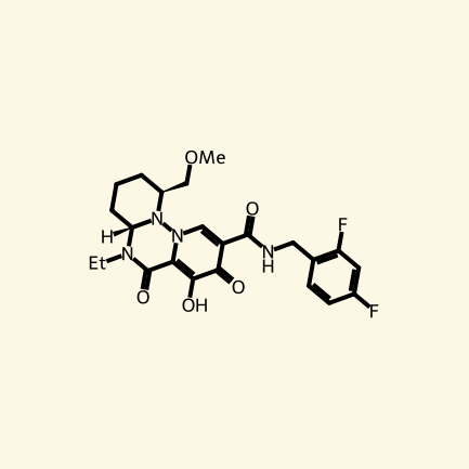 CCN1C(=O)c2c(O)c(=O)c(C(=O)NCc3ccc(F)cc3F)cn2N2[C@H](COC)CCC[C@@H]12